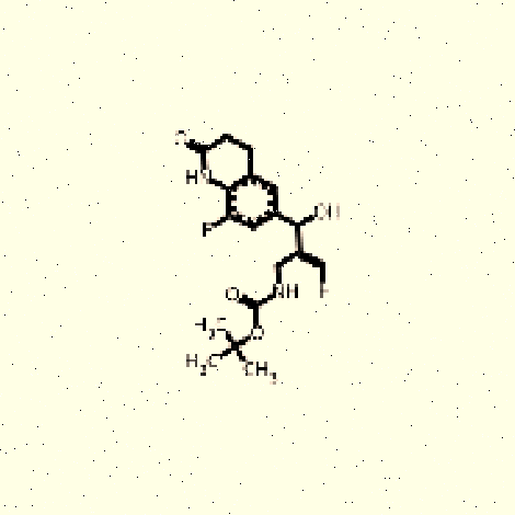 CC(C)(C)OC(=O)NC/C(=C\F)C(O)c1cc(F)c2c(c1)CCC(=O)N2